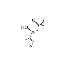 COC(=O)C[C@H](O)c1ccsc1